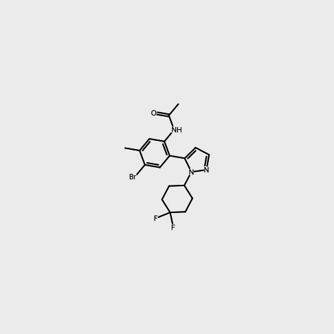 CC(=O)Nc1cc(C)c(Br)cc1-c1ccnn1C1CCC(F)(F)CC1